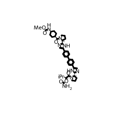 COC(=O)N[C@H]1CC[C@H](C(=O)N2CCC[C@H]2c2ncc(-c3ccc(-c4ccc(-c5cnc([C@@H]6CCCN6C(=O)[C@@H](OC(N)=O)C(C)C)[nH]5)cc4)cc3)[nH]2)CC1